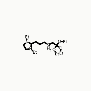 CCOC(C[SiH2]CCCC1N(CC)CCN1CC)(OCC)OCC